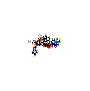 Cc1ccc([C@@H](c2ccn3c(C(F)(F)F)nnc3c2C)C(C)(C)C(=O)O)cc1CN1CC2(CC2)Oc2nc(OCCN3CCC(F)CC3)c(C)cc2S1(=O)=O